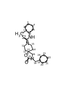 Cc1ccccc1NC(=S)N1CCC2(CC1)CN(Cc1ccccc1)C(=O)O2